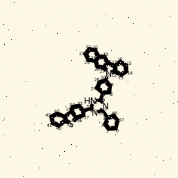 c1ccc(C2=NC(c3ccc(-n4c5ccccc5c5cc6ccccc6cc54)cc3)NC(c3ccc4c(c3)sc3ccccc34)=N2)cc1